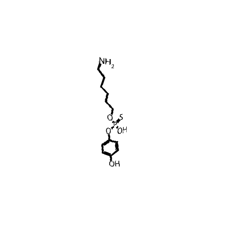 NCCCCCCOP(O)(=S)Oc1ccc(O)cc1